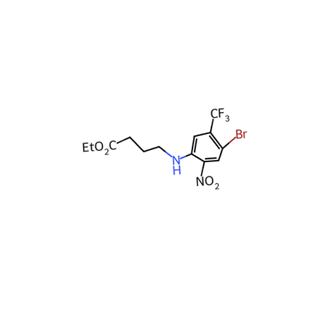 CCOC(=O)CCCNc1cc(C(F)(F)F)c(Br)cc1[N+](=O)[O-]